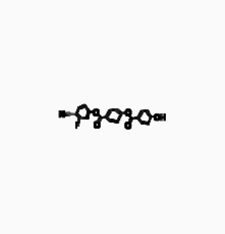 N#Cc1ccc(OC(=O)c2ccc(OC(=O)c3ccc(O)cc3)cc2)cc1F